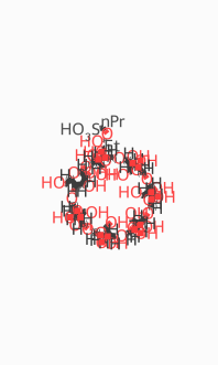 CCCC(OC(O)CC)S(=O)(=O)O.OC[C@H]1O[C@@H]2O[C@H]3[C@H](O)[C@@H](O)[C@@H](O[C@H]4[C@H](O)[C@@H](O)[C@@H](O[C@H]5[C@H](O)[C@@H](O)[C@@H](O[C@H]6[C@H](O)[C@@H](O)[C@@H](O[C@H]7[C@H](O)[C@@H](O)[C@@H](O[C@H]8[C@H](O)[C@@H](O)[C@@H](O[C@H]1[C@H](O)[C@H]2O)O[C@@H]8CO)O[C@@H]7CO)O[C@@H]6CO)O[C@@H]5CO)O[C@@H]4CO)O[C@@H]3CO